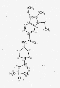 CCn1c(C)[n+](CC)c2ccc(C(=O)NC3CCN(C(=O)OC(C)(C)C)CC3)cc21